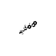 C=CC(=O)NC[C@@H]1CN(c2ccc(N3CCc4ccccc4C3)c(F)c2)C(=O)O1